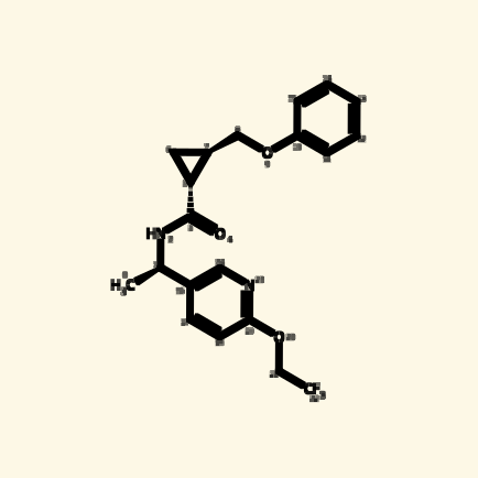 C[C@@H](NC(=O)[C@@H]1C[C@H]1COc1ccccc1)c1ccc(OCC(F)(F)F)nc1